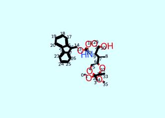 COC1(C)OC[C@@H]([C@H](C)[C@H](NC(=O)OCC2c3ccccc3-c3ccccc32)C(=O)O)OC1(C)OC